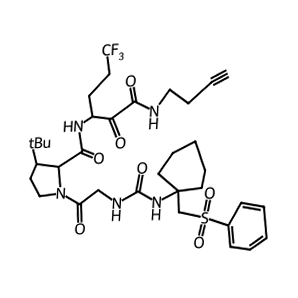 C#CCCNC(=O)C(=O)C(CCC(F)(F)F)NC(=O)C1C(C(C)(C)C)CCN1C(=O)CNC(=O)NC1(CS(=O)(=O)c2ccccc2)CCCCC1